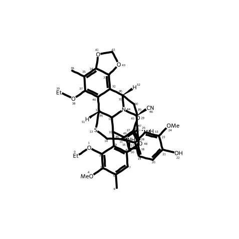 CCOc1c(OC)c(C)cc2c1C1C3[C@@H]4SC[C@]5(NCCc6cc(O)c(OC)cc65)C(=O)OC[C@@H](c5c6c(c(C)c(OCC)c54)OCO6)N3[C@@H](C#N)[C@@H](C2)N1C